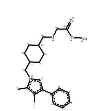 Cc1c(I)c(-c2ccccc2)nn1CC1CCC(COCC(=O)OC(C)(C)C)CC1